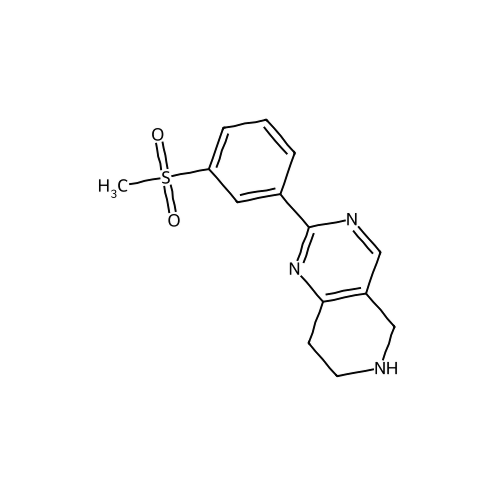 CS(=O)(=O)c1cccc(-c2ncc3c(n2)CCNC3)c1